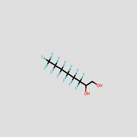 OCC(O)C(F)(F)C(F)(F)C(F)(F)C(F)(F)C(F)(F)C(F)(F)F